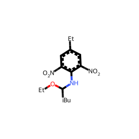 CCOC(Nc1c([N+](=O)[O-])cc(CC)cc1[N+](=O)[O-])C(C)CC